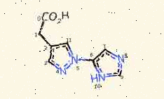 O=C(O)Cc1cnn(-c2cnc[nH]2)c1